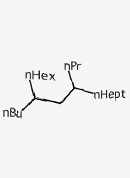 CCCCCCCC(CCC)CC(CCCC)CCCCCC